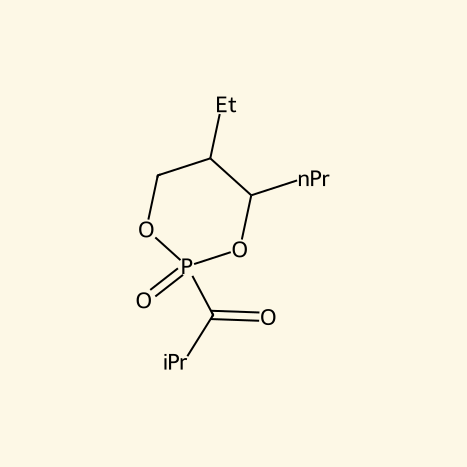 CCCC1OP(=O)(C(=O)C(C)C)OCC1CC